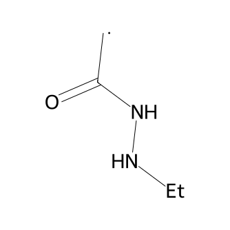 [CH2]C(=O)NNCC